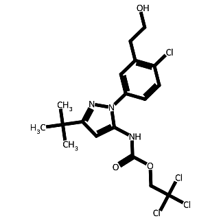 CC(C)(C)c1cc(NC(=O)OCC(Cl)(Cl)Cl)n(-c2ccc(Cl)c(CCO)c2)n1